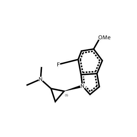 COc1cc(F)c2c(ccn2[C@H]2CC2N(C)C)c1